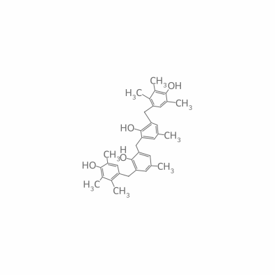 Cc1cc(Cc2cc(C)c(O)c(C)c2C)c(O)c(Cc2cc(C)cc(Cc3cc(C)c(O)c(C)c3C)c2O)c1